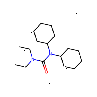 CCN(CC)C(=O)N(C1CCCCC1)C1CCCCC1